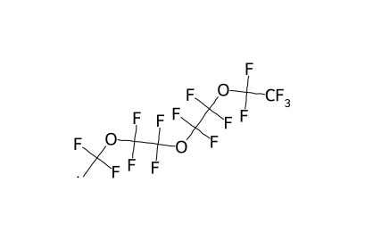 [CH2]C(F)(F)OC(F)(F)C(F)(F)OC(F)(F)C(F)(F)OC(F)(F)C(F)(F)F